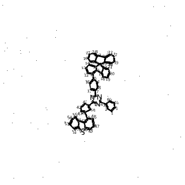 c1ccc(-c2nc(-c3ccc(-c4cccc5c4-c4ccccc4C54c5ccccc5-c5ccccc54)cc3)nc(-c3cccc(-c4cccc5sc6ccccc6c45)c3)n2)cc1